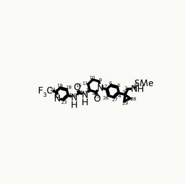 CSNCC1(c2ccc(N3CCCC(NC(=O)Nc4ccc(C(F)(F)F)nc4)C3=O)cc2)CC1